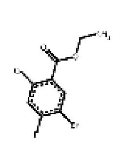 CCOC(=O)c1cc(Br)c(F)cc1Cl